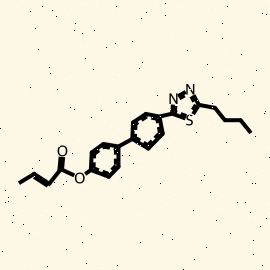 CC=CC(=O)Oc1ccc(-c2ccc(-c3nnc(CCCC)s3)cc2)cc1